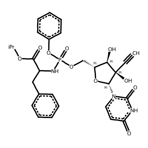 C#C[C@@]1(O)[C@H](O)[C@@H](COP(=O)(NC(Cc2ccccc2)C(=O)OC(C)C)Oc2ccccc2)O[C@H]1n1ccc(=O)[nH]c1=O